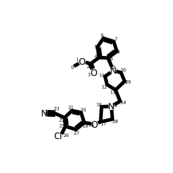 COC(=O)c1ccccc1N1CCC(CN2CC(Oc3ccc(C#N)c(Cl)c3)C2)CC1